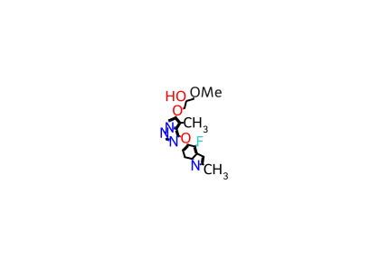 COCC(O)COc1cn2ncnc(OC3=CCC4=NC(C)=CC4=C3F)c2c1C